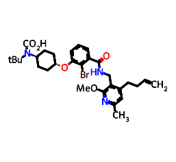 C=CCCc1cc(C)nc(OC)c1CNC(=O)c1cccc(O[C@H]2CC[C@H](N(C(=O)O)C(C)(C)C)CC2)c1Br